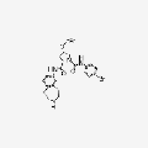 CCCOC1CC(C(=O)Nc2ccc3c(c2)CCNCC3)N(C(=O)Nc2ccc(Br)cc2)C1